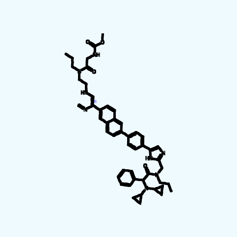 C=N/C(=C\NCCN(CCC)C(=O)CNC(=O)OC)c1ccc2cc(-c3ccc(-c4cnc(CN(CCC)C(=O)C(c5ccccc5)N(C5CC5)C5CC5)[nH]4)cc3)ccc2c1